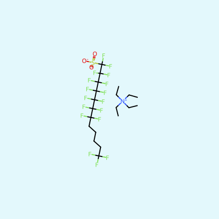 CC[N+](CC)(CC)CC.O=S(=O)([O-])C(F)(F)C(F)(F)C(F)(F)C(F)(F)C(F)(F)C(F)(F)C(F)(F)CCCCC(F)(F)F